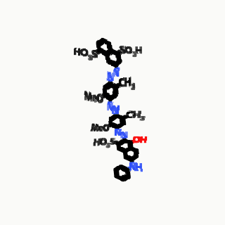 COc1cc(N=Nc2cc(S(=O)(=O)O)c3cccc(S(=O)(=O)O)c3c2)c(C)cc1N=Nc1cc(OC)c(N=Nc2c(S(=O)(=O)O)cc3cc(Nc4ccccc4)ccc3c2O)cc1C